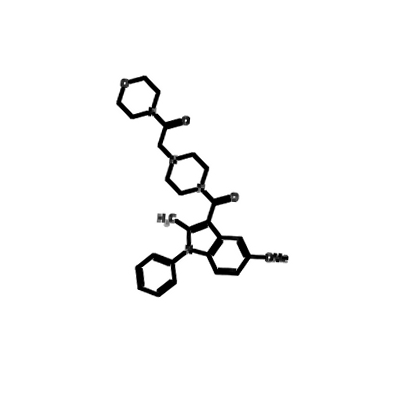 COc1ccc2c(c1)c(C(=O)N1CCN(CC(=O)N3CCOCC3)CC1)c(C)n2-c1ccccc1